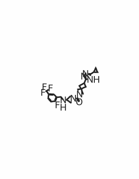 O=C(N1CC(NCc2cc(C(F)(F)F)ccc2F)C1)N1CC2(CC(c3nnc(C4CC4)[nH]3)C2)C1